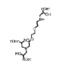 CCCCCCCCCCC(O)CNCCOCCOCCN(CC(O)CCCCCCCCCC)CC(CCCCCCCCCC)N=O